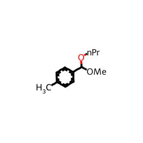 CCCOC(OC)c1ccc(C)cc1